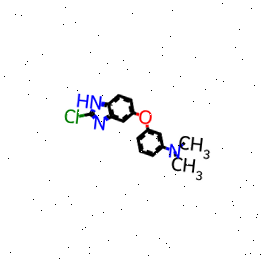 CN(C)c1cccc(Oc2ccc3[nH]c(Cl)nc3c2)c1